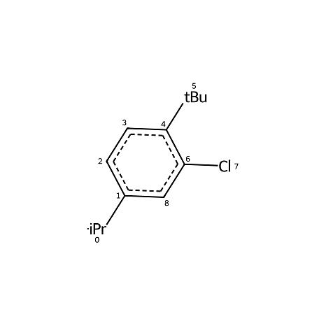 C[C](C)c1ccc(C(C)(C)C)c(Cl)c1